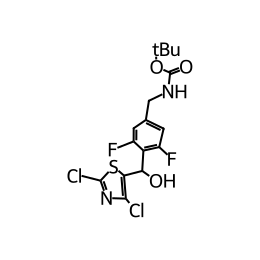 CC(C)(C)OC(=O)NCc1cc(F)c(C(O)c2sc(Cl)nc2Cl)c(F)c1